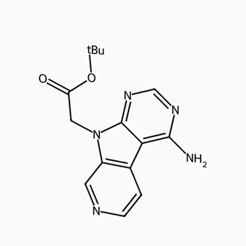 CC(C)(C)OC(=O)Cn1c2cnccc2c2c(N)ncnc21